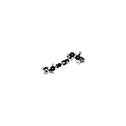 CC(Cc1ccc(F)c(Oc2ccc3ncn([C@H]4COC5(CCN(C6CC7(C6)CN(c6cc8c(cc6F)c(N6CCC(=O)NC6=O)nn8C)C7)CC5)C4)c(=O)c3c2)c1C#N)S(N)(=O)=O